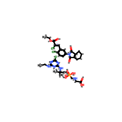 CCNc1nc(Cl)nc(NC(C)(C)C)n1.CCOC(=O)/C(Cl)=C/c1cc(N2C(=O)C3=C(CCCC3)C2=O)ccc1Cl.O=C(O)CNCP(=O)(O)O